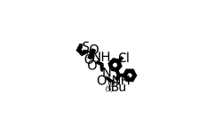 CC[C@H](C)[C@@H]1NC(c2ccccc2)c2cc(Cl)ccc2N(CCC(=O)NS(=O)(=O)c2cccs2)C1=O